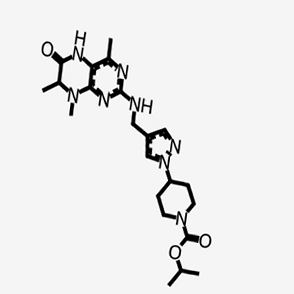 Cc1nc(NCc2cnn(C3CCN(C(=O)OC(C)C)CC3)c2)nc2c1NC(=O)C(C)N2C